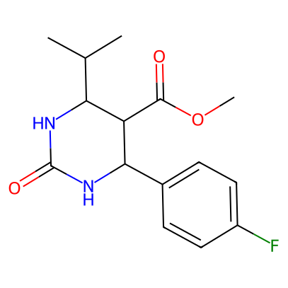 COC(=O)C1C(c2ccc(F)cc2)NC(=O)NC1C(C)C